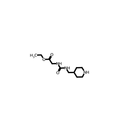 CCOC(=O)CNC(=O)NCC1CCNCC1